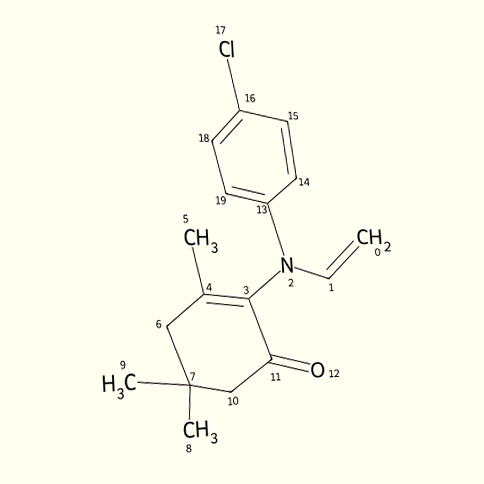 C=CN(C1=C(C)CC(C)(C)CC1=O)c1ccc(Cl)cc1